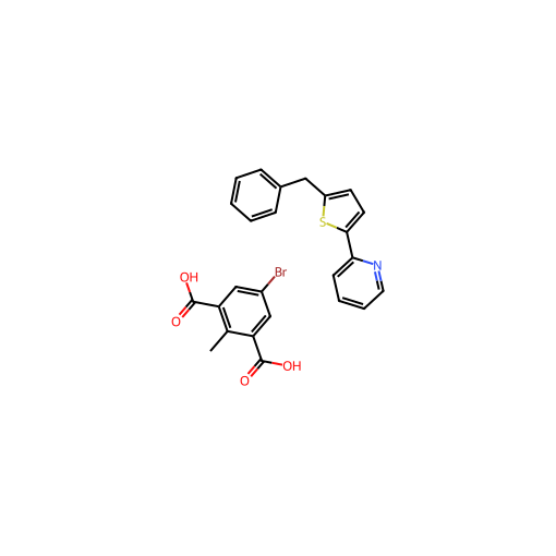 Cc1c(C(=O)O)cc(Br)cc1C(=O)O.c1ccc(Cc2ccc(-c3ccccn3)s2)cc1